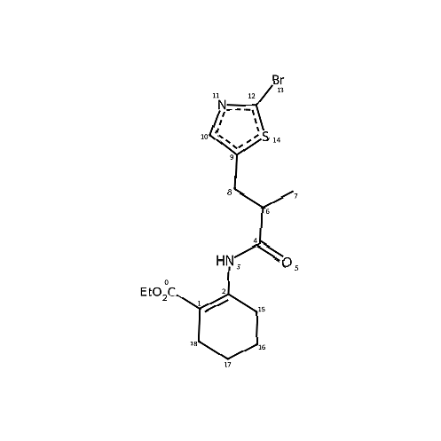 CCOC(=O)C1=C(NC(=O)C(C)Cc2cnc(Br)s2)CCCC1